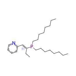 CCCCCCCCP(CCCCCCCC)/C(=C/c1ccccn1)CC